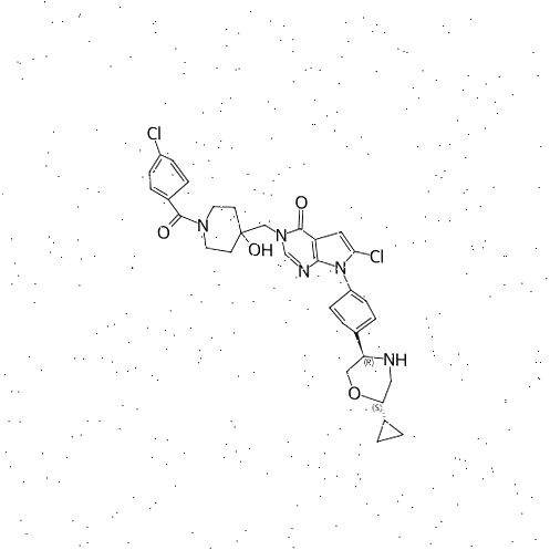 O=C(c1ccc(Cl)cc1)N1CCC(O)(Cn2cnc3c(cc(Cl)n3-c3ccc([C@@H]4CO[C@@H](C5CC5)CN4)cc3)c2=O)CC1